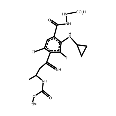 CC(CC(=N)c1c(Cl)cc(C(=O)NNC(=O)O)c(NC2CC2)c1F)NC(=O)OC(C)(C)C